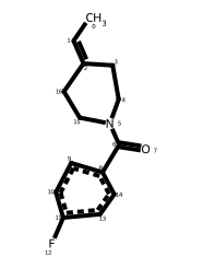 CC=C1CCN(C(=O)c2ccc(F)cc2)CC1